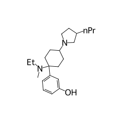 CCCC1CCN(C2CCC(c3cccc(O)c3)(N(C)CC)CC2)C1